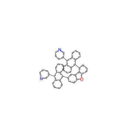 c1cncc(-c2c3ccccc3c(-c3ccc4oc5cccc(-c6c7ccccc7c(-c7cccnc7)c7ccccc67)c5c4c3)c3ccccc23)c1